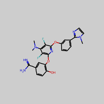 CN(C)c1c(F)c(Oc2cccc(-c3nccn3C)c2)nc(Oc2cc(C(=N)N)ccc2O)c1F